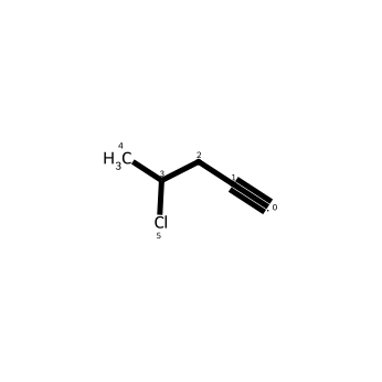 [C]#CCC(C)Cl